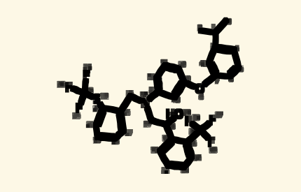 CC(C)c1cccc(Oc2cccc(N(Cc3ccccc3SC(F)(F)F)CC(O)c3ccccc3C(F)(F)F)c2)c1